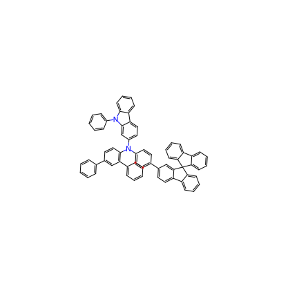 c1ccc(-c2ccc(N(c3ccc(-c4ccc5c(c4)C4(c6ccccc6-c6ccccc64)c4ccccc4-5)cc3)c3ccc4c5ccccc5n(-c5ccccc5)c4c3)c(-c3ccccc3)c2)cc1